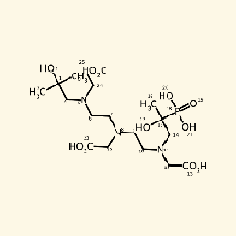 CC(C)(O)CN(CCN(CCN(CC(=O)O)CC(C)(O)P(=O)(O)O)CC(=O)O)CC(=O)O